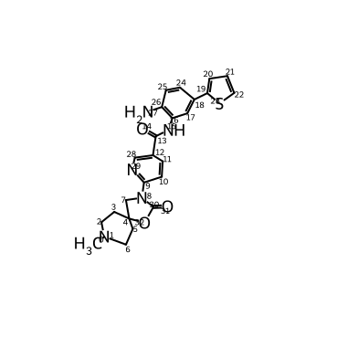 CN1CCC2(CC1)CN(c1ccc(C(=O)Nc3cc(-c4cccs4)ccc3N)cn1)C(=O)O2